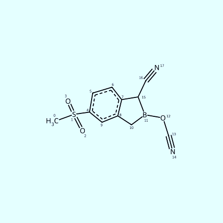 CS(=O)(=O)c1ccc2c(c1)CB(OC#N)C2C#N